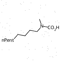 CCCCCCCCCN(C)C(=O)O